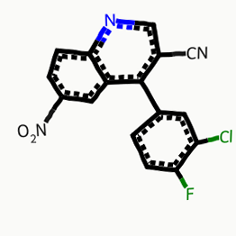 N#Cc1cnc2ccc([N+](=O)[O-])cc2c1-c1ccc(F)c(Cl)c1